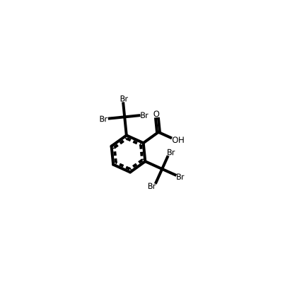 O=C(O)c1c(C(Br)(Br)Br)cccc1C(Br)(Br)Br